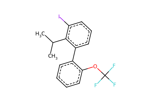 CC(C)c1c(I)cccc1-c1ccccc1OC(F)(F)F